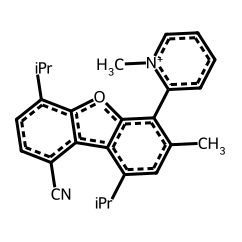 Cc1cc(C(C)C)c2c(oc3c(C(C)C)ccc(C#N)c32)c1-c1cccc[n+]1C